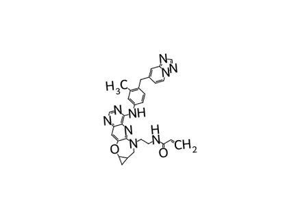 C=CC(=O)NCCN1CC2CC2Oc2cc3ncnc(Nc4ccc(Cc5ccn6ncnc6c5)c(C)c4)c3nc21